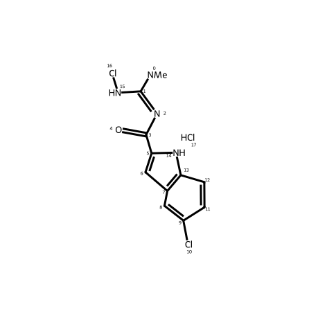 CNC(=NC(=O)c1cc2cc(Cl)ccc2[nH]1)NCl.Cl